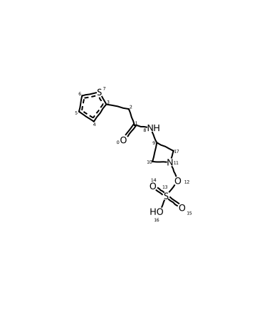 O=C(Cc1cccs1)NC1CN(OS(=O)(=O)O)C1